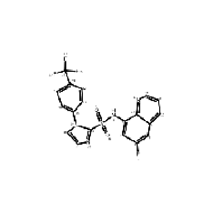 O=S(=O)(Nc1cc(F)cc2cccnc12)c1nccn1-c1ccc(C(F)(F)F)cc1